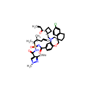 C=CC[C@H](C)[C@@H](C)S(=O)(=NC(=O)c1ccc2c(c1)N(C[C@@H]1CC[C@H]1C(=O)C=C)C[C@@]1(CCCc3cc(Cl)ccc31)CO2)NC(=O)c1cn(C)nc1OC